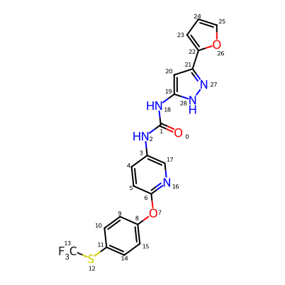 O=C(Nc1ccc(Oc2ccc(SC(F)(F)F)cc2)nc1)Nc1cc(-c2ccco2)n[nH]1